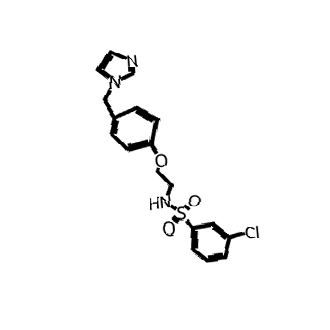 O=S(=O)(NCCOc1ccc(Cn2ccnc2)cc1)c1cccc(Cl)c1